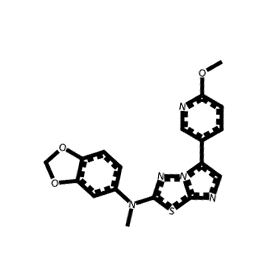 COc1ccc(-c2cnc3sc(N(C)c4ccc5c(c4)OCO5)nn23)cn1